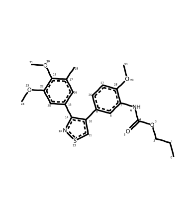 CCCOC(=O)Nc1cc(-c2csnc2-c2cc(C)c(OC)c(OC)c2)ccc1OC